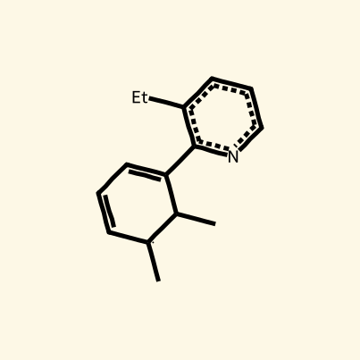 CCc1cccnc1C1=CC=C[C](C)C1C